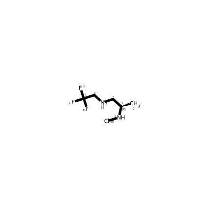 C[C@H](CNCC(F)(F)F)NCl